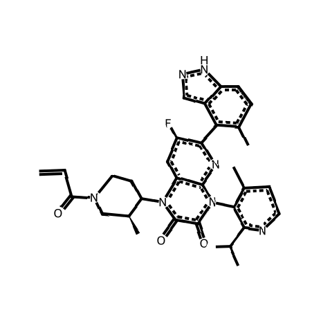 C=CC(=O)N1CCC(n2c(=O)c(=O)n(-c3c(C)ccnc3C(C)C)c3nc(-c4c(C)ccc5[nH]ncc45)c(F)cc32)[C@@H](C)C1